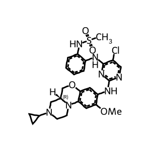 COc1cc2c(cc1Nc1ncc(Cl)c(Nc3ccccc3NS(C)(=O)=O)n1)OC[C@H]1CN(C3CC3)CCN21